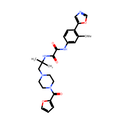 COc1cc(NC(=O)C(=O)NC(C)(C)CN2CCN(C(=O)c3ccco3)CC2)ccc1-c1cnco1